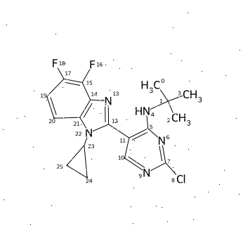 CC(C)(C)Nc1nc(Cl)ncc1-c1nc2c(F)c(F)ccc2n1C1CC1